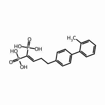 Cc1ccccc1-c1ccc(CCC=C(P(=O)(O)O)P(=O)(O)O)cc1